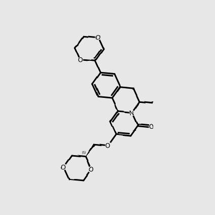 CC1Cc2cc(C3=COCCO3)ccc2-c2cc(OC[C@@H]3COCCO3)cc(=O)n21